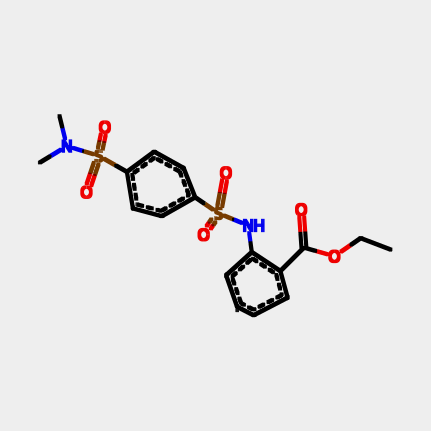 CCOC(=O)c1cc[c]cc1NS(=O)(=O)c1ccc(S(=O)(=O)N(C)C)cc1